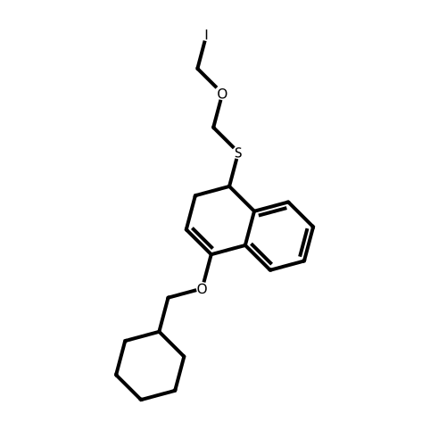 ICOCSC1CC=C(OCC2CCCCC2)c2ccccc21